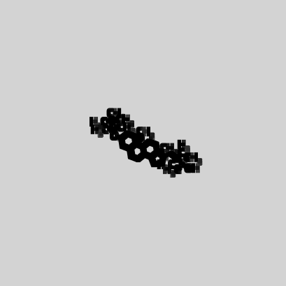 C=C[C@]12CC[C@H](O[Si](C)(C)C(C)(C)C)CC1=CCC1C2CC[C@@]2(C)C1CC[C@@H]2CC(C)(C)[Si](C)(C)O